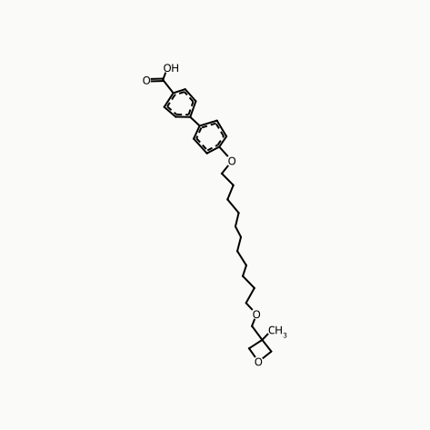 CC1(COCCCCCCCCCCCOc2ccc(-c3ccc(C(=O)O)cc3)cc2)COC1